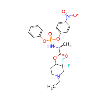 CCN1CCC(OC(=O)[C@H](C)NP(=O)(Oc2ccccc2)Oc2ccc([N+](=O)[O-])cc2)C(F)(F)C1